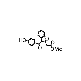 COC(=O)Cc1oc2ccccc2c1C(=O)c1ccc(O)cc1